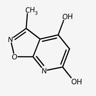 Cc1noc2nc(O)cc(O)c12